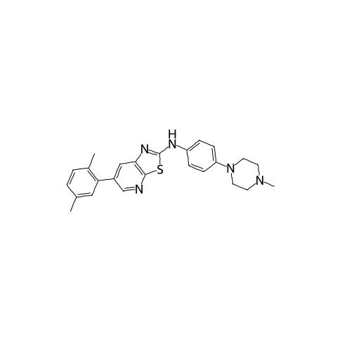 Cc1ccc(C)c(-c2cnc3sc(Nc4ccc(N5CCN(C)CC5)cc4)nc3c2)c1